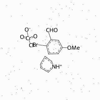 COc1ccc(Br)c(C=O)c1.[O]=[Cr](=[O])([O-])[Cl].c1cc[nH+]cc1